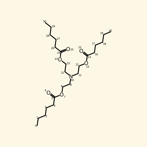 CCCCCC(=O)OCCN(CCOC(=O)CCCCC)CCOC(=O)CCCCC